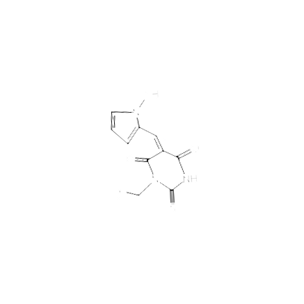 CCN1C(=O)/C(=C\c2cccn2C)C(=O)NC1=S